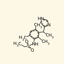 CCS(=O)(=O)Nc1c(C)cc(C)c(C(C)c2c[nH]cn2)c1C